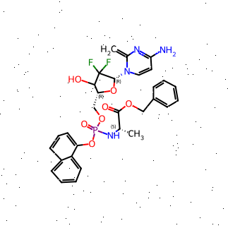 C=C1N=C(N)C=CN1[C@@H]1O[C@H](COP(=O)(N[C@@H](C)C(=O)OCc2ccccc2)Oc2cccc3ccccc23)C(O)C1(F)F